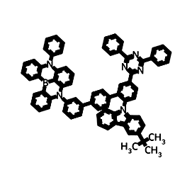 CC(C)(C)c1ccc2c(c1)c1ccccc1n2-c1ccc(-c2nc(-c3ccccc3)nc(-c3ccccc3)n2)cc1-c1ccc(-c2cccc(N3c4ccccc4B4c5ccccc5N(c5ccccc5)c5cccc3c54)c2)cc1